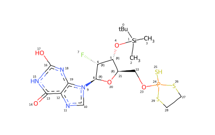 CC(C)(C)[Si](C)(C)O[C@H]1[C@@H](F)[C@H](n2cnc3c(=O)[nH]c(O)nc32)O[C@@H]1CO[P]1(S)SCCS1